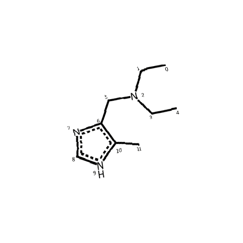 CCN(CC)Cc1nc[nH]c1C